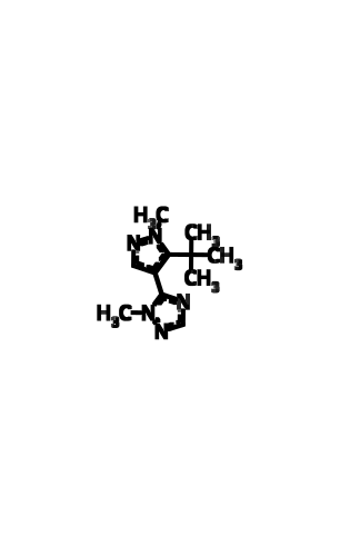 Cn1ncnc1-c1cnn(C)c1C(C)(C)C